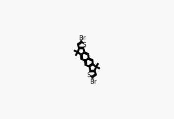 CC1(C)c2cc3cc4c(cc3cc2-c2sc(Br)cc21)C(C)(C)c1cc(Br)sc1-4